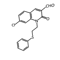 O=Cc1cc2ccc(Cl)cc2n(CCSc2ccccc2)c1=O